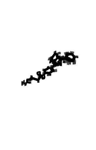 CCCC(=O)Oc1ccc(-n2nc(-c3ccccc3)c3cccnc32)cc1